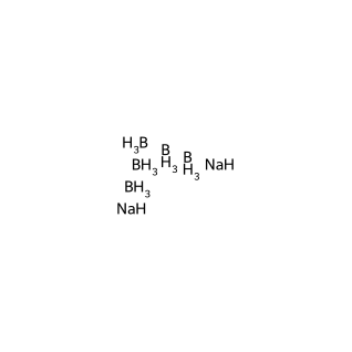 B.B.B.B.B.[NaH].[NaH]